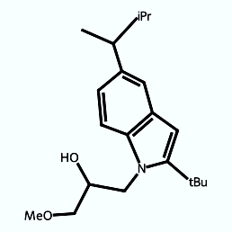 COCC(O)Cn1c(C(C)(C)C)cc2cc(C(C)C(C)C)ccc21